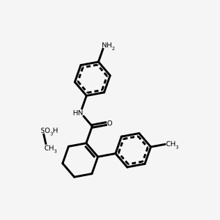 CS(=O)(=O)O.Cc1ccc(C2=C(C(=O)Nc3ccc(N)cc3)CCCC2)cc1